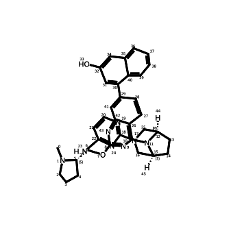 CN1CCC[C@H]1COc1nc(N2[C@@H]3CC[C@H]2CN(c2nccc(N)n2)C3)c2ccc(-c3cc(O)cc4ccccc34)cc2n1